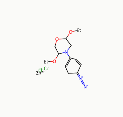 CCOC1CN(C2=CCC(=[N+]=[N-])C=C2)C(OCC)CO1.[Cl-].[Cl-].[Zn+2]